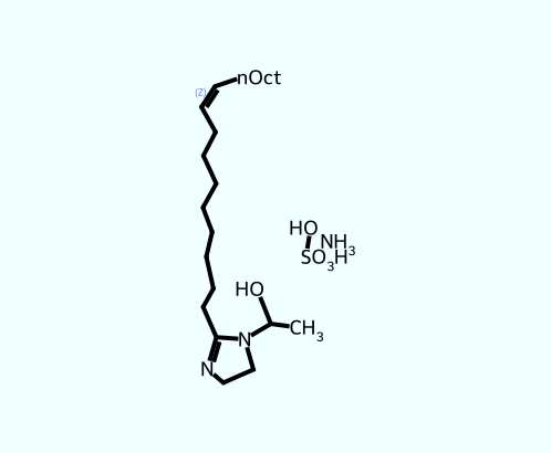 CCCCCCCC/C=C\CCCCCCCCC1=NCCN1C(C)O.N.O=S(=O)(O)O